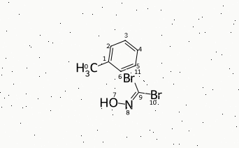 Cc1ccccc1.ON=C(Br)Br